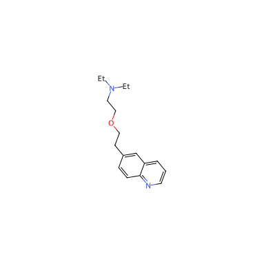 CCN(CC)CCOCCc1ccc2ncccc2c1